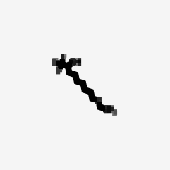 CCOCCCCCCCC(O)C(F)(F)F